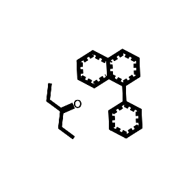 CCC(=O)CC.c1ccc(-c2cccc3ccccc23)cc1